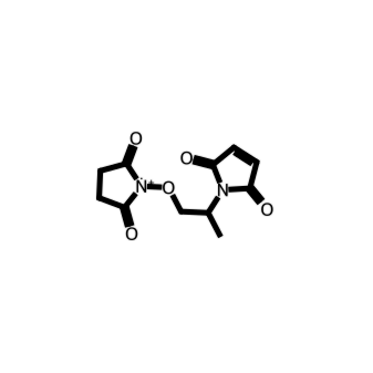 CC(CO[N+]1C(=O)CCC1=O)N1C(=O)C=CC1=O